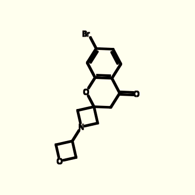 O=C1CC2(CN(C3COC3)C2)Oc2cc(Br)ccc21